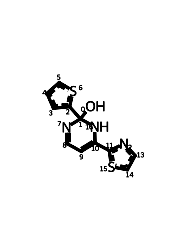 OC1(c2cccs2)N=CC=C(c2nccs2)N1